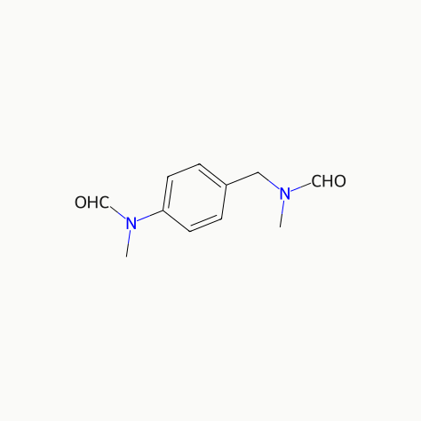 CN(C=O)Cc1ccc(N(C)C=O)cc1